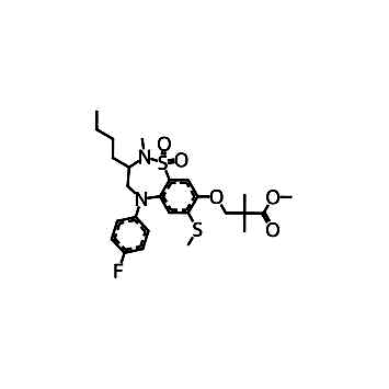 CCCCC1CN(c2ccc(F)cc2)c2cc(SC)c(OCC(C)(C)C(=O)OC)cc2S(=O)(=O)N1C